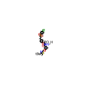 Cc1sc(COc2cccc(C(=O)NC(Oc3ccc(CCCS(=O)(=O)c4ccc(Cl)cc4)cc3)C(=O)O)c2)nc1C(C)(C)C